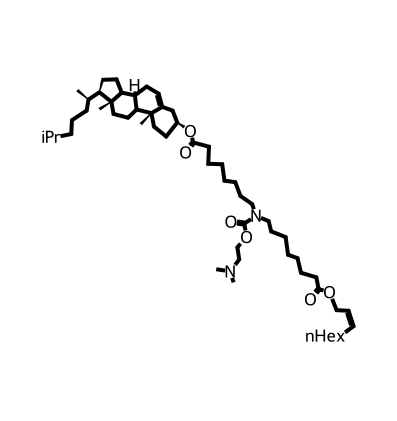 CCCCCC/C=C\COC(=O)CCCCCCCN(CCCCCCCC(=O)O[C@H]1CC[C@@]2(C)C(=CC[C@@H]3C2CC[C@@]2(C)C3CC[C@@H]2[C@H](C)CCCC(C)C)C1)C(=O)OCCN(C)C